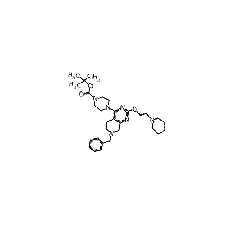 CC(C)(C)OC(=O)N1CCN(c2nc(OCCN3CCCCC3)nc3c2CCN(Cc2ccccc2)C3)CC1